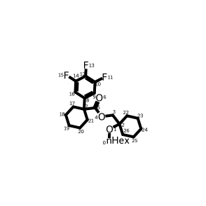 CCCCCCOC1(COC(=O)C2(c3cc(F)c(F)c(F)c3)CCCCC2)CCCCC1